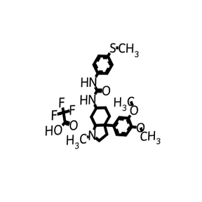 COc1ccc(C23CCC(NC(=O)Nc4ccc(SC)cc4)CC2N(C)CC3)cc1OC.O=C(O)C(F)(F)F